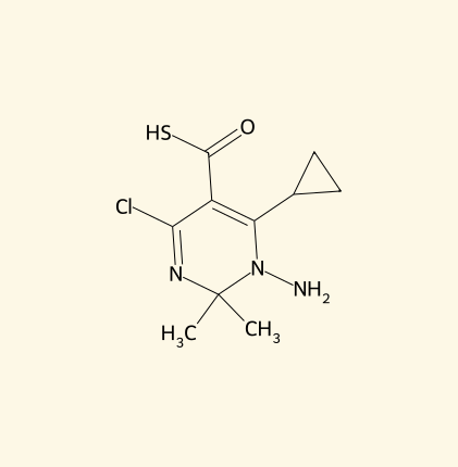 CC1(C)N=C(Cl)C(C(=O)S)=C(C2CC2)N1N